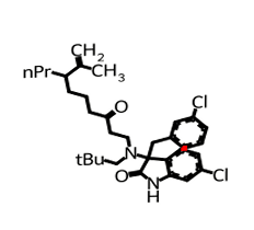 C=C(C)C(CCC)CCCC(=O)CCN(CC(C)(C)C)C1(Cc2cccc(Cl)c2)C(=O)Nc2cc(Cl)ccc21